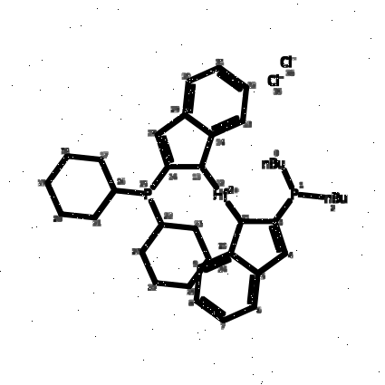 CCCCP(CCCC)C1=Cc2ccccc2[CH]1[Hf+2][CH]1C(P(C2CCCCC2)C2CCCCC2)=Cc2ccccc21.[Cl-].[Cl-]